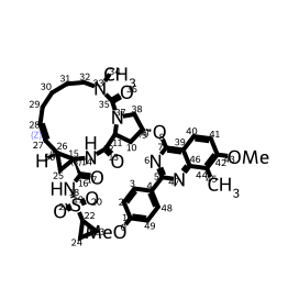 COc1ccc(-c2nc(O[C@@H]3CC4C(=O)N[C@]5(C(=O)NS(=O)(=O)C6CC6)C[C@@H]5/C=C\CCCCN(C)C(=O)N4C3)c3ccc(OC)c(C)c3n2)cc1